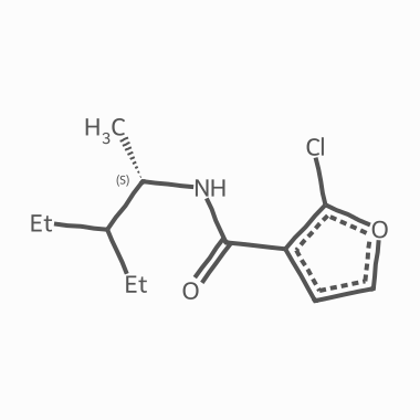 CCC(CC)[C@H](C)NC(=O)c1ccoc1Cl